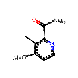 CNC(=O)c1nccc(OC)c1C